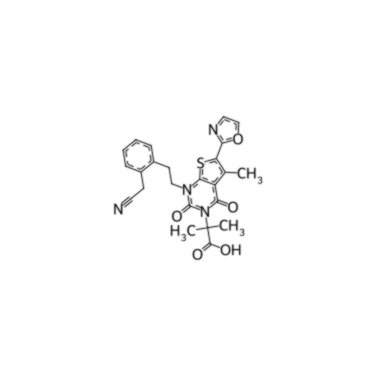 Cc1c(-c2ncco2)sc2c1c(=O)n(C(C)(C)C(=O)O)c(=O)n2CCc1ccccc1CC#N